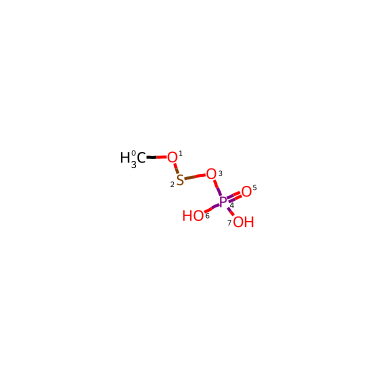 COSOP(=O)(O)O